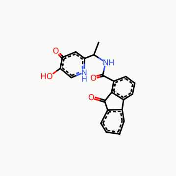 CC(NC(=O)c1cccc2c1C(=O)c1ccccc1-2)c1cc(=O)c(O)c[nH]1